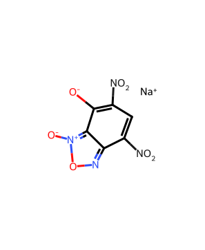 O=[N+]([O-])c1cc([N+](=O)[O-])c2no[n+]([O-])c2c1[O-].[Na+]